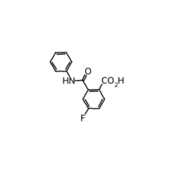 O=C(O)c1ccc(F)cc1C(=O)Nc1ccccc1